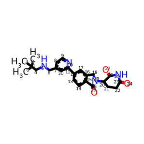 CC(C)(C)CNCc1ccnc(-c2ccc3c(c2)CN(C2CCC(=O)NC2=O)C3=O)c1